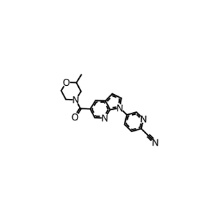 CC1CN(C(=O)c2cnc3c(ccn3-c3ccc(C#N)nc3)c2)CCO1